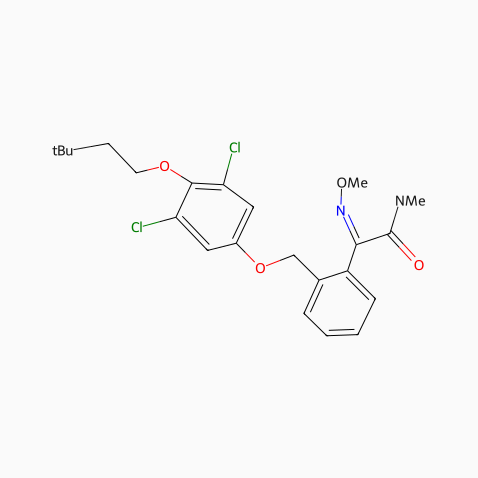 CNC(=O)C(=NOC)c1ccccc1COc1cc(Cl)c(OCCC(C)(C)C)c(Cl)c1